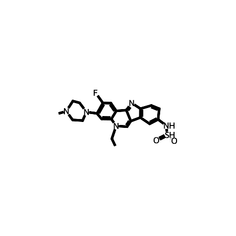 CCn1cc2c3cc(N[SH](=O)=O)ccc3nc-2c2cc(F)c(N3CCN(C)CC3)cc21